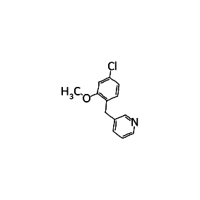 COc1cc(Cl)ccc1Cc1cccnc1